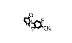 N#Cc1cc(F)c(N2N=CCC2=O)cc1F